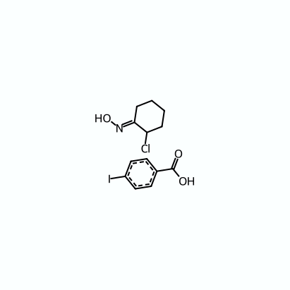 O=C(O)c1ccc(I)cc1.ON=C1CCCCC1Cl